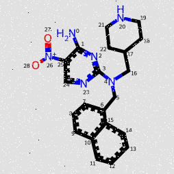 Nc1nc(N(Cc2cccc3ccccc23)CC2CCNCC2)ncc1[N+](=O)[O-]